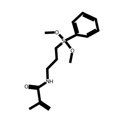 C=C(C)C(=O)NCCC[Si](OC)(OC)c1ccccc1